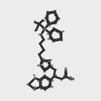 CC(C)(C)[Si](OCCCCc1nc(CC(CC(=O)O)c2ccc3c(c2)OCO3)cs1)(c1ccccc1)c1ccccc1